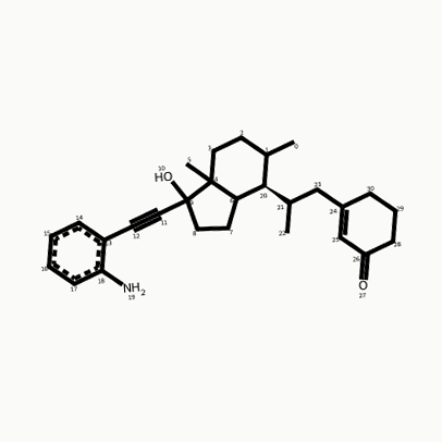 CC1CCC2(C)C(CCC2(O)C#Cc2ccccc2N)[C@@H]1C(C)CC1=CC(=O)CCC1